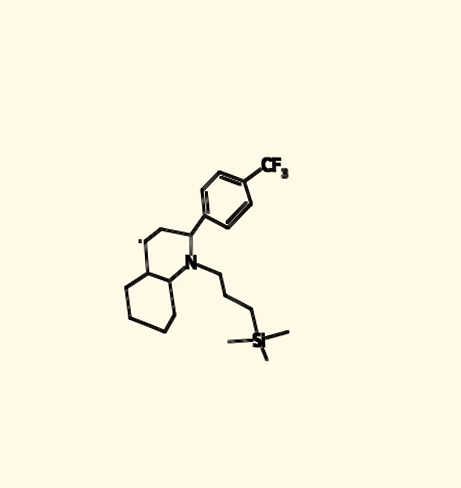 C[Si](C)(C)CCCN1C(c2ccc(C(F)(F)F)cc2)C[CH]C2CCCCC21